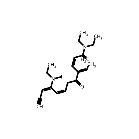 C#C/C=C(\C=C/CC(=O)C(/C=C\C(=C)N(CC)CC)=C/C)N(I)CC